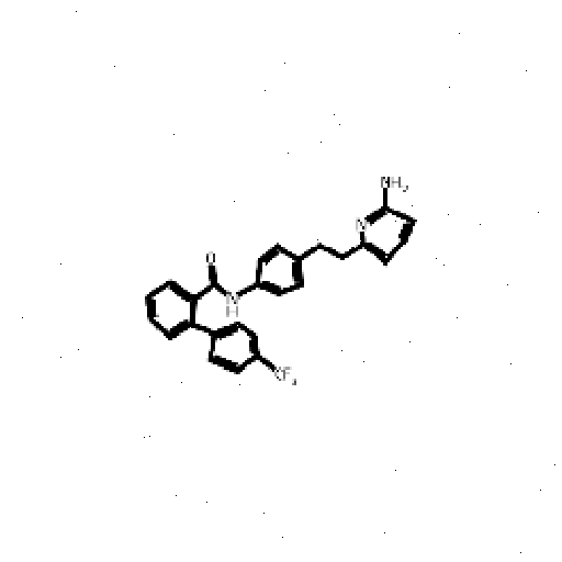 Nc1cccc(CCc2ccc(NC(=O)c3ccccc3-c3ccc(C(F)(F)F)cc3)cc2)n1